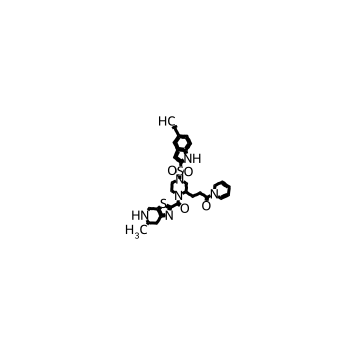 C#Cc1ccc2[nH]c(S(=O)(=O)N3CCN(C(=O)c4nc5c(s4)CNC(C)C5)C(CCC(=O)N4C=CC=CC4)C3)cc2c1